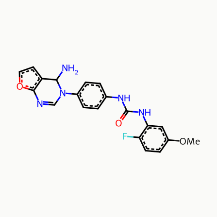 COc1ccc(F)c(NC(=O)Nc2ccc(N3C=Nc4occc4C3N)cc2)c1